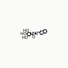 O=C(N/N=C/c1ccc2ccccc2c1)c1cc(O)c(O)c(O)c1